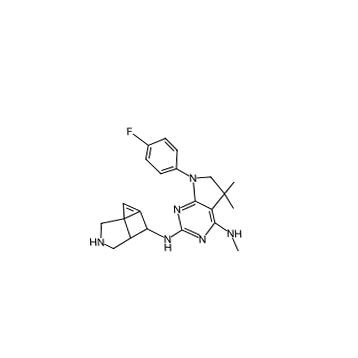 CNc1nc(NC2C3=CC34CNCC24)nc2c1C(C)(C)CN2c1ccc(F)cc1